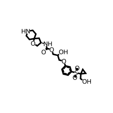 O=C(N[C@H]1COC2(CCNCC2)C1)OCC(O)COc1cccc(S(=O)(=O)C2(CO)CC2)c1